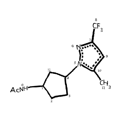 CC(=O)NC1CCC(n2nc(C(F)(F)F)cc2C)C1